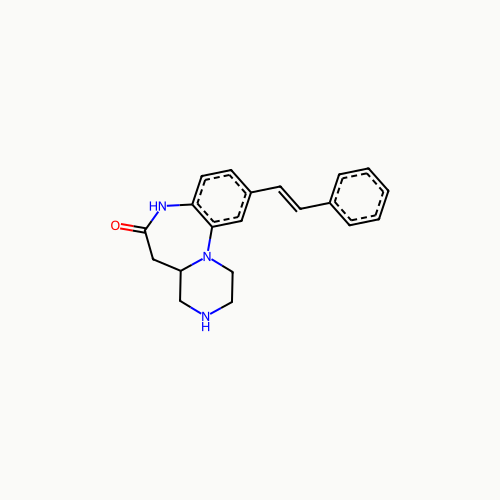 O=C1CC2CNCCN2c2cc(C=Cc3ccccc3)ccc2N1